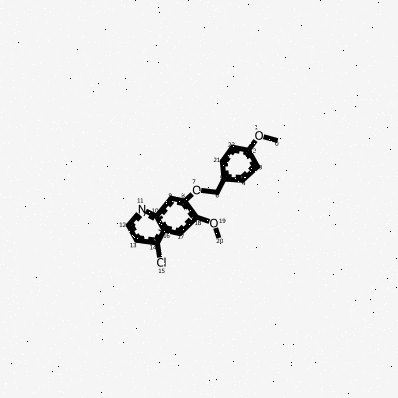 COc1ccc(COc2cc3nccc(Cl)c3cc2OC)cc1